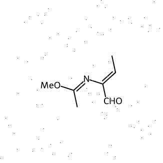 C/C=C(C=O)\N=C(/C)OC